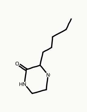 CCCCCC1[N]CCNC1=O